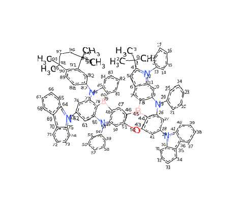 CC(C)(C)c1cc2cc3c(cc2n1-c1ccccc1)N(c1ccccc1)c1cc(-n2c4ccccc4c4ccccc42)cc2c1B3c1cc3c(cc1O2)N(c1ccccc1)c1cc(-n2c4ccccc4c4ccccc42)cc2c1B3c1ccccc1N2c1ccc2c(c1)C(C)(C)CCC2(C)C